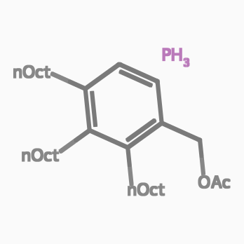 CCCCCCCCc1ccc(COC(C)=O)c(CCCCCCCC)c1CCCCCCCC.P